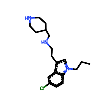 CCCn1cc(CCNCC2CCNCC2)c2cc(Cl)ccc21